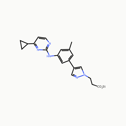 CCOC(=O)CCn1cc(-c2cc(C)cc(Nc3nccc(C4CC4)n3)c2)cn1